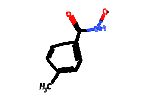 Cc1ccc(C(=O)N[O])cc1